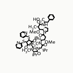 CC[C@H](C)C([C@H](CC(=O)N1CCC[C@H]1[C@@H](OC)[C@@H](C)C(=O)N[C@@H](Cc1ccccc1)C(=O)O)OC)N(C)C(=O)[C@@H](NC(=O)[C@H](C(C)C)N(C)CN1C(=O)C(Sc2ccccn2)C(Sc2ccccn2)C1=O)C(C)C